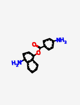 Nc1ccc(C(=O)Oc2ccc(N)c3ccccc23)cc1